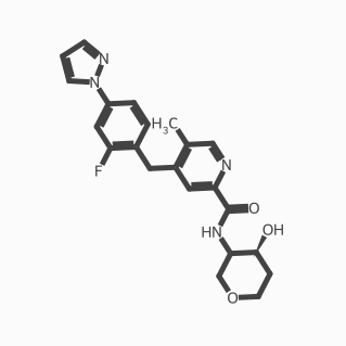 Cc1cnc(C(=O)NC2COCC[C@@H]2O)cc1Cc1ccc(-n2cccn2)cc1F